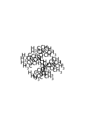 CC(C)C(C)N(c1ccc([N+](=C2C=CC(=[N+](c3ccc(N(C(C)C(C)C)C(C)C(C)C)cc3)c3ccc(N(C(C)C(C)C)C(C)C(C)C)cc3)C=C2)c2ccc(N(C(C)C(C)C)C(C)C(C)C)cc2)cc1)C(C)C(C)C